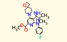 COC(=O)c1cc(N2CCC3(CCO3)CC2)c(C(=N)C(C)C)c(Nc2ccc(F)cc2)n1